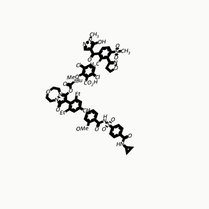 CCc1cc(C)cc(CC)c1-c1c(OC(=O)C(C)(C)C)n2n(c1=O)CCOCC2.COc1c(Cl)ccc(Cl)c1C(=O)O.COc1ccccc1C(=O)NS(=O)(=O)c1ccc(C(=O)NC2CC2)cc1.Cc1c(C(=O)c2cnn(C)c2O)ccc(S(C)(=O)=O)c1C1=NOCC1